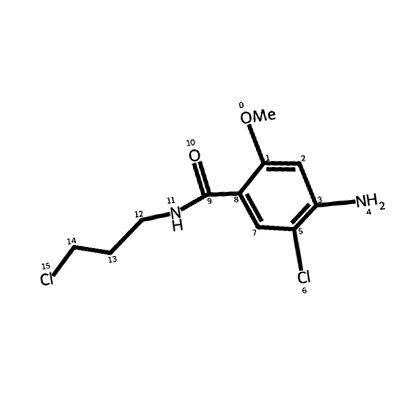 COc1cc(N)c(Cl)cc1C(=O)NCCCCl